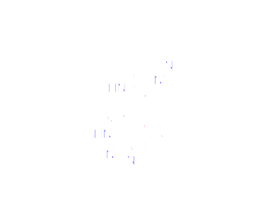 COc1ccccc1-c1cc(Nc2ccc(NC(=O)OC3CN(C)C=N3)cc2)ncn1